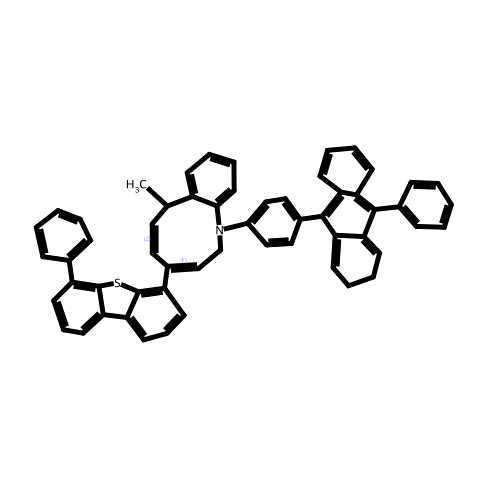 CC1/C=C\C(c2cccc3c2sc2c(-c4ccccc4)cccc23)=C/CN(c2ccc(-c3c4c(c(-c5ccccc5)c5ccccc35)=CCCC=4)cc2)c2ccccc21